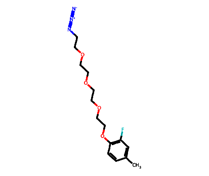 Cc1ccc(OCCOCCOCCOCCN=[N+]=[N-])c(F)c1